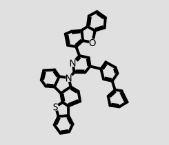 c1ccc(-c2cccc(-c3cc(-c4cccc5c4oc4ccccc45)nc(-n4c5ccccc5c5c6sc7ccccc7c6ccc54)c3)c2)cc1